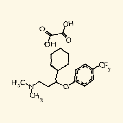 CN(C)CCC(Oc1ccc(C(F)(F)F)cc1)C1CCCCC1.O=C(O)C(=O)O